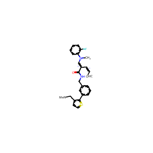 CNCc1ccsc1-c1cccc(CNC(=O)C(/C=C\C=O)=C/N(C)c2ccccc2F)c1